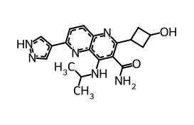 CC(C)Nc1c(C(N)=O)c(C2CC(O)C2)nc2ccc(-c3cn[nH]c3)nc12